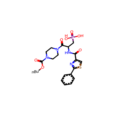 CCCCOC(=O)N1CCN(C(=O)C(CP(=O)(O)O)NC(=O)c2csc(-c3ccccc3)n2)CC1